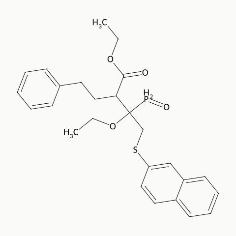 CCOC(=O)C(CCc1ccccc1)C(CSc1ccc2ccccc2c1)(OCC)[PH2]=O